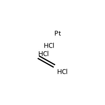 C=C.Cl.Cl.Cl.[Pt]